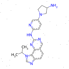 CC(C)n1cnc2ccc3cnc(Nc4ccc(N5CCC(N)C5)cn4)nc3c21